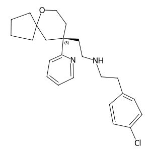 Clc1ccc(CCNCC[C@]2(c3ccccn3)CCOC3(CCCC3)C2)cc1